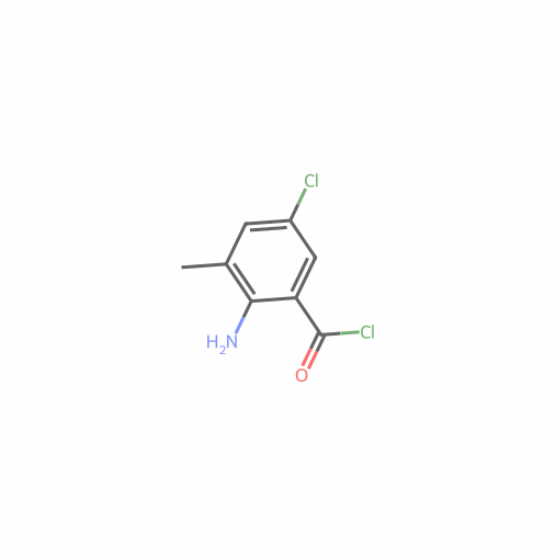 Cc1cc(Cl)cc(C(=O)Cl)c1N